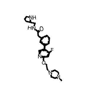 CN1CCN(CCOc2cc(F)c(-c3cccc(CC(=O)NCC4CCCN4)c3)cn2)CC1